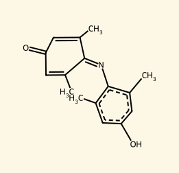 CC1=CC(=O)C=C(C)C1=Nc1c(C)cc(O)cc1C